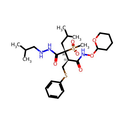 CC(C)CNNC(=O)[C@@](CC(C)C)([C@H](CSc1ccccc1)C(=O)NOC1CCCCO1)S(C)(=O)=O